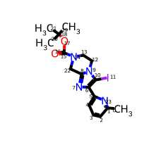 Cc1cccc(-c2nc3n(c2I)CCN(C(=O)OC(C)(C)C)C3)n1